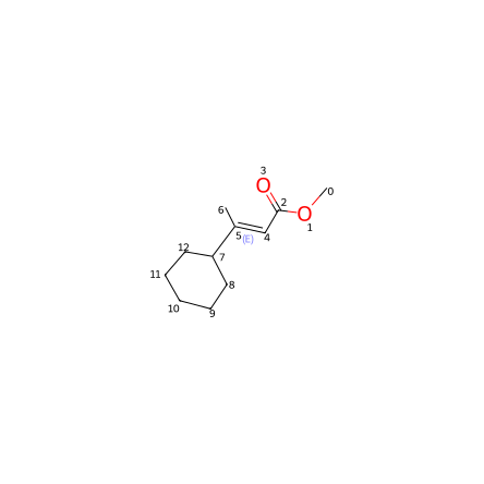 COC(=O)/C=C(\C)C1CCCCC1